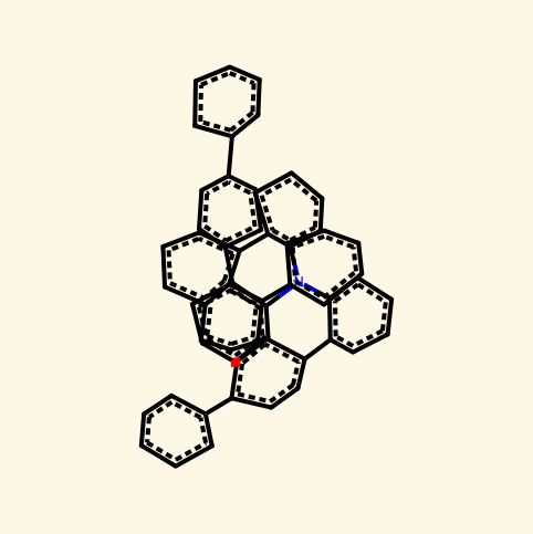 c1ccc(-c2ccc(-c3ccccc3N(c3ccccc3-c3ccc(-c4ccccc4)cc3)c3ccccc3-c3cccc4cccc(-c5ccccc5)c34)cc2)cc1